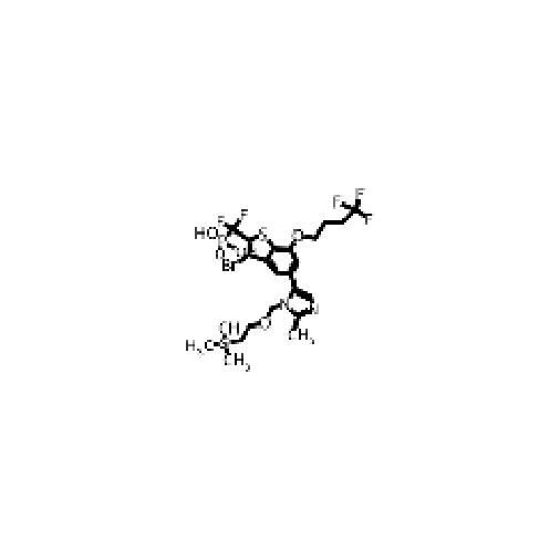 Cc1ncc(-c2cc(OCCCC(F)(F)F)c3sc(C(F)(F)P(=O)(O)O)c(Br)c3c2)n1COCC[Si](C)(C)C